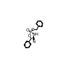 N#CNP(=O)(OCc1ccccc1)OCc1ccccc1